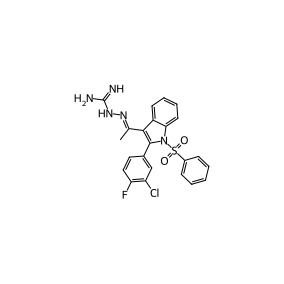 CC(=NNC(=N)N)c1c(-c2ccc(F)c(Cl)c2)n(S(=O)(=O)c2ccccc2)c2ccccc12